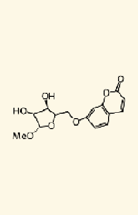 CO[C@H]1O[C@H](COc2ccc3ccc(=O)oc3c2)[C@H](O)[C@@H]1O